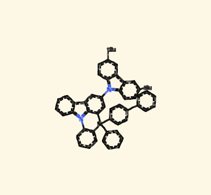 CC(C)(C)c1ccc2c(c1)c1cc(C(C)(C)C)ccc1n2-c1cc2c3c(c1)c1ccccc1n3-c1ccccc1[Si]2(c1ccccc1)c1ccc(-c2ccccc2)cc1